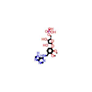 COc1c(CNc2ncnc3nc[nH]c23)ccc(OC2O[C@H](COP(=O)(O)O)[C@@H](O)[C@H]2O)c1OC